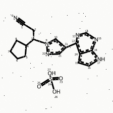 N#CC[C@H](C1CCCC1)n1cc(-c2ncnc3[nH]ccc23)cn1.O=S(=O)(O)O